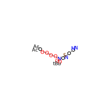 CC(=O)c1ccc(OCCOCCOCCOCCN(C(=O)OC(C)(C)C)c2ccc3nc(-c4ccc(-c5ccc(N(C)C)nc5)cc4)sc3c2)cc1C(C)=O